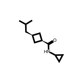 CC(C)C[C@H]1C[C@@H](C(=O)NC2CC2)C1